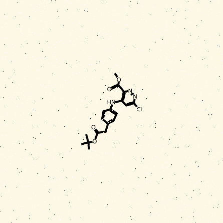 COC(=O)c1nnc(Cl)cc1Nc1ccc(CC(=O)OC(C)(C)C)cc1